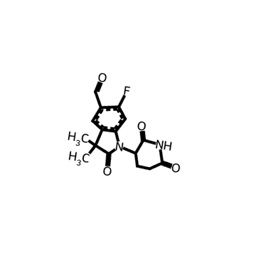 CC1(C)C(=O)N(C2CCC(=O)NC2=O)c2cc(F)c(C=O)cc21